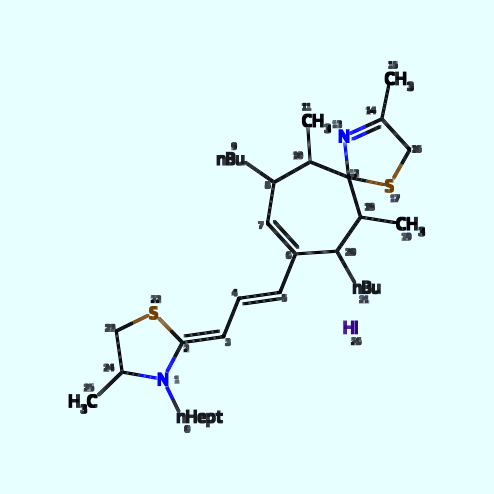 CCCCCCCN1C(=CC=CC2=CC(CCCC)C(C)C3(N=C(C)CS3)C(C)C2CCCC)SCC1C.I